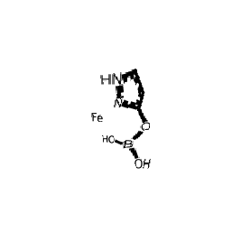 OB(O)Oc1cc[nH]n1.[Fe]